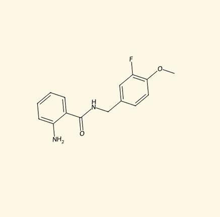 COc1ccc(CNC(=O)c2ccccc2N)cc1F